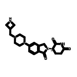 O=C1CC[C@H](N2Cc3cc(N4CCN(CC5CNC5)CC4)ccc3C2=O)C(=O)N1